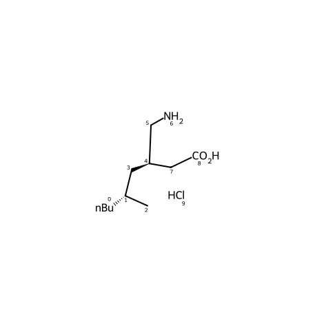 CCCC[C@@H](C)C[C@@H](CN)CC(=O)O.Cl